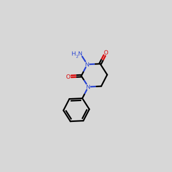 NN1C(=O)CCN(c2ccccc2)C1=O